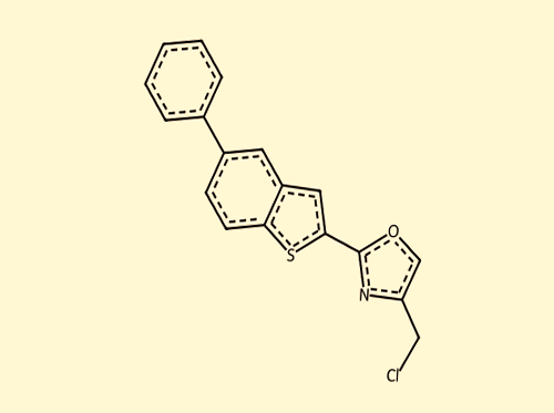 ClCc1coc(-c2cc3cc(-c4ccccc4)ccc3s2)n1